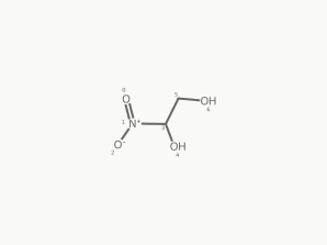 O=[N+]([O-])C(O)CO